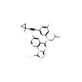 Cc1nnc2nc(N(CC(F)F)c3cc(F)cc(C#CC4(C)CC4)c3)c3cc(F)cnc3n12